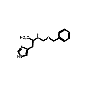 O=C(O)C(Cc1c[nH]cn1)NCOCc1ccccc1